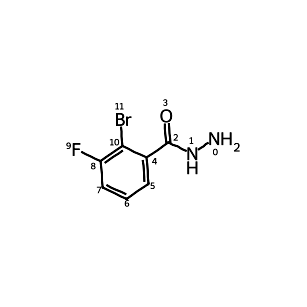 NNC(=O)c1cccc(F)c1Br